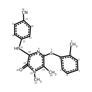 Cc1ccccc1Sc1nc(Nc2ccc(C#N)cc2)c(=O)n(C)c1C